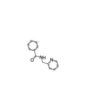 O=C(NCc1ccccn1)c1c[c][c]cc1